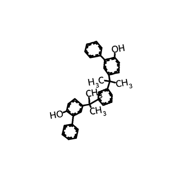 CC(C)(c1cccc(C(C)(C)c2ccc(O)c(-c3ccccc3)c2)c1)c1ccc(O)c(-c2ccccc2)c1